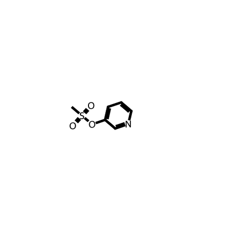 CS(=O)(=O)Oc1cccnc1